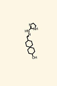 OC1CCC2(CC1)CCC(C=NNC1=NCCN1)CC2